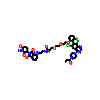 CCC(=O)N1CCN(c2ncnc3c(F)c(-c4c(F)cccc4OCCOCCOCCC(=O)NCCNc4cccc5c4C(=O)N(C4CCC(=O)NC4=O)C5=O)c(Cl)cc23)CC1